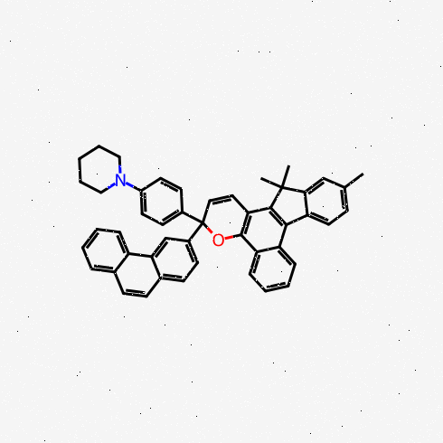 Cc1ccc2c(c1)C(C)(C)c1c3c(c4ccccc4c1-2)OC(c1ccc(N2CCCCC2)cc1)(c1ccc2ccc4ccccc4c2c1)C=C3